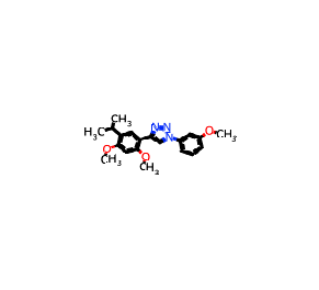 COc1cccc(-n2cc(-c3cc(C(C)C)c(OC)cc3OC)nn2)c1